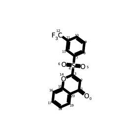 O=c1cc(S(=O)(=O)c2cccc(C(F)(F)F)c2)oc2ccccc12